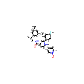 Cc1cc(F)ccc1C1C[C@@H](C(=O)NC[C@H](C)c2cc(C(F)(F)F)cc(C(F)(F)F)c2)CCN1Cc1cc[n+]([O-])cc1